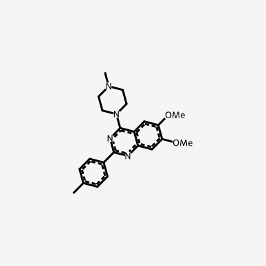 COc1cc2nc(-c3ccc(C)cc3)nc(N3CCN(C)CC3)c2cc1OC